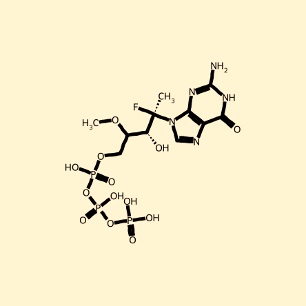 COC(COP(=O)(O)OP(=O)(O)OP(=O)(O)O)[C@@H](O)[C@@](C)(F)n1cnc2c(=O)[nH]c(N)nc21